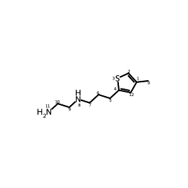 Cc1csc(CCCNCCN)c1